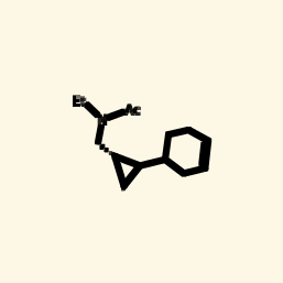 CCN(C[C@H]1CC1C1CC=CCC1)C(C)=O